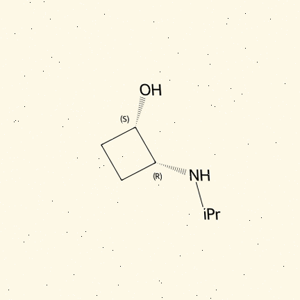 CC(C)N[C@@H]1CC[C@@H]1O